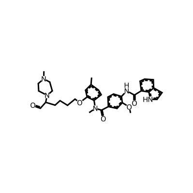 COc1cc(C(=O)N(C)c2ccc(C)cc2OCCCCC(C=O)N2CCN(C)CC2)ccc1NC(=O)c1cccc2cc[nH]c12